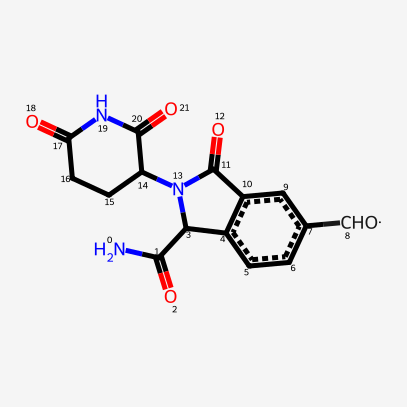 NC(=O)C1c2ccc([C]=O)cc2C(=O)N1C1CCC(=O)NC1=O